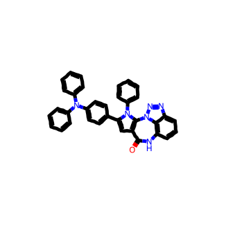 O=C1Nc2cccc3nnn(c23)-c2c1cc(-c1ccc(N(c3ccccc3)c3ccccc3)cc1)n2-c1ccccc1